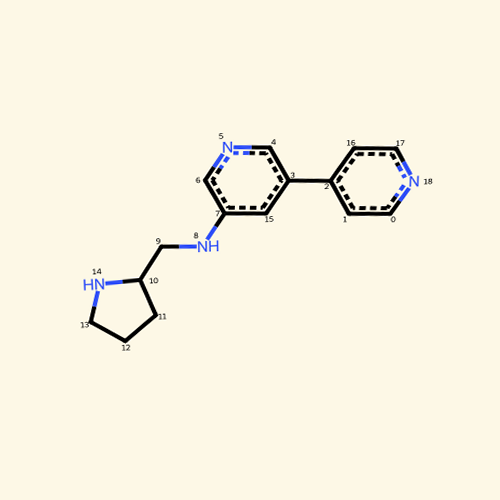 c1cc(-c2cncc(NCC3CCCN3)c2)ccn1